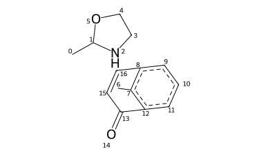 CC1NCCO1.Cc1c2cccc1C(=O)C=C2